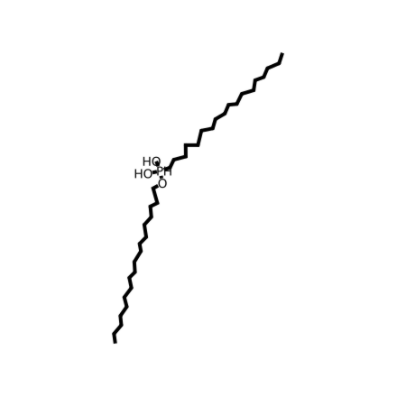 CCCCCCCCCCCCCCCCCCO[PH](O)(O)CCCCCCCCCCCCCCCCCC